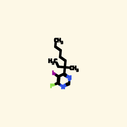 CCCCCC(C)(CC)c1ncnc(F)c1I